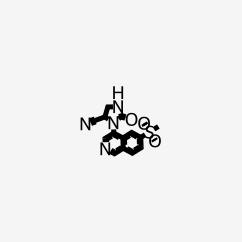 CS(=O)(=O)c1ccc2cncc(N3C(=O)NCC3C#N)c2c1